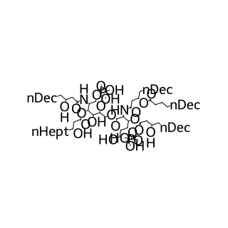 CCCCCCCCCCCCCC(=O)OC(CCCCCCCCCCC)CC(=O)N[C@H]1C(OC(=O)CC(O)CCCCCCCCCCC)[C@H](OP(=O)(O)O)C(CO)O[C@H]1OCC1O[C@H](OP(=O)(O)O)[C@@H](NC(=O)CC(O)CCCCCCCCCCC)C(OC(=O)CC(O)CCCCCCC)[C@@H]1O